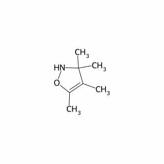 CC1=C(C)C(C)(C)NO1